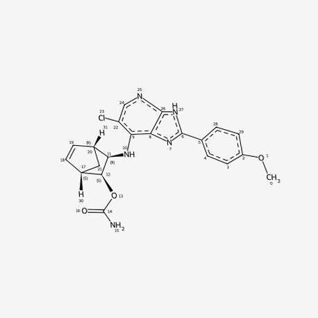 COc1ccc(-c2nc3c(N[C@H]4[C@@H](OC(N)=O)[C@@H]5C=C[C@H]4C5)c(Cl)cnc3[nH]2)cc1